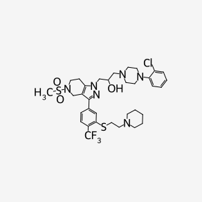 CS(=O)(=O)N1CCc2c(c(-c3ccc(C(F)(F)F)c(SCCN4CCCCC4)c3)nn2CC(O)CN2CCN(c3ccccc3Cl)CC2)C1